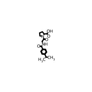 CC(C)c1ccc(C(=O)NCC(=O)N2CCCC2C(=O)O)cc1